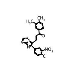 Cc1ccc(C(=O)/C=C/c2c(-c3ccc(Cl)c([N+](=O)[O-])c3)nc3sccn23)cc1C